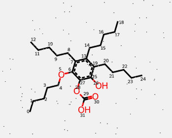 CCCCCOc1c(CCCCC)c(CCCCC)c(CCCCC)c(O)c1OC(=O)O